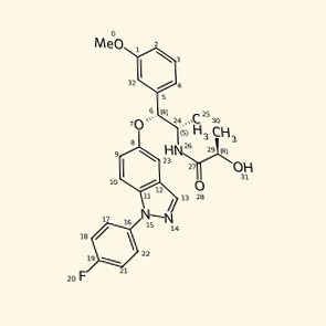 COc1cccc([C@@H](Oc2ccc3c(cnn3-c3ccc(F)cc3)c2)[C@H](C)NC(=O)[C@@H](C)O)c1